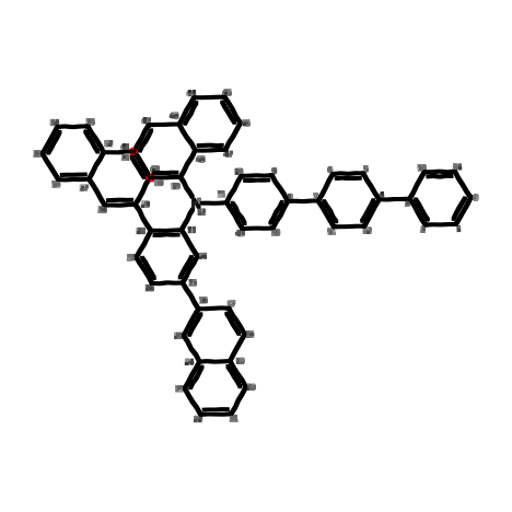 c1ccc(-c2ccc(-c3ccc(N(c4cc(-c5ccc6ccccc6c5)ccc4-c4ccc5ccccc5c4)c4cccc5ccccc45)cc3)cc2)cc1